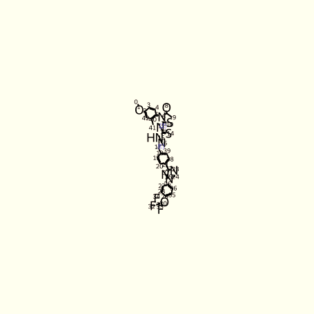 COc1ccc(N2C(=O)CS/C2=N\C(=S)N/N=C/c2ccc(-c3ncn(-c4ccc(OC(F)(F)F)cc4)n3)cc2)c(C)c1